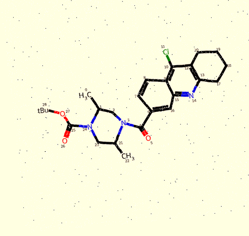 CC1CN(C(=O)c2ccc3c(Cl)c4c(nc3c2)CCCC4)C(C)CN1C(=O)OC(C)(C)C